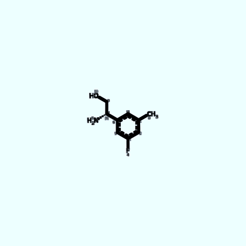 Cc1cc(F)cc([C@H](N)CO)c1